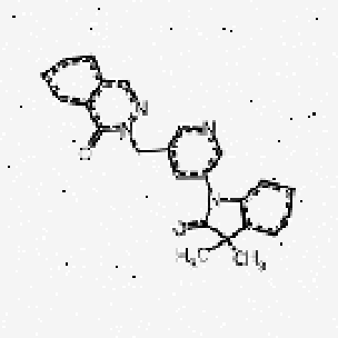 CC1(C)C(=O)N(c2cncc(Cn3ncc4ccccc4c3=O)c2)c2ccccc21